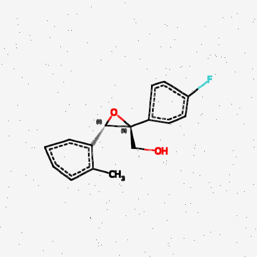 Cc1ccccc1[C@@H]1O[C@]1(CO)c1ccc(F)cc1